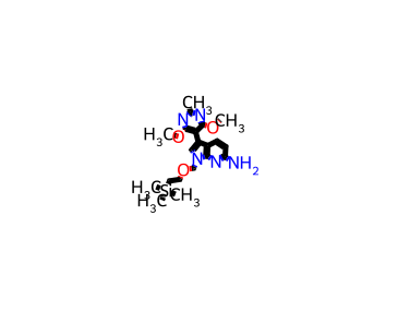 COc1nc(C)nc(OC)c1-c1cn(COCC[Si](C)(C)C)c2nc(N)ccc12